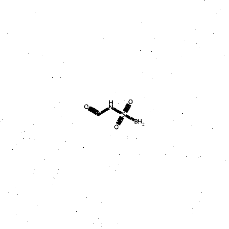 BS(=O)(=O)NC=O